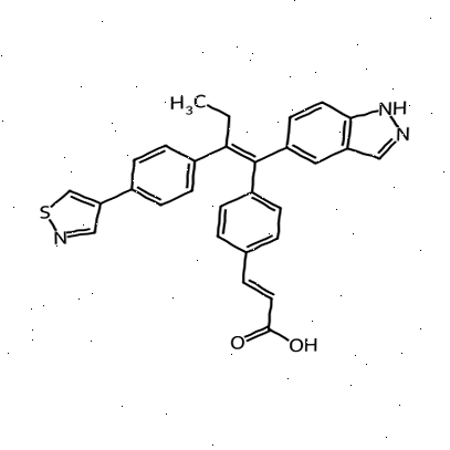 CC/C(=C(/c1ccc(/C=C/C(=O)O)cc1)c1ccc2[nH]ncc2c1)c1ccc(-c2cnsc2)cc1